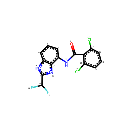 O=C(Nc1cccc2[nH]c(C(F)F)nc12)c1c(Cl)cccc1Cl